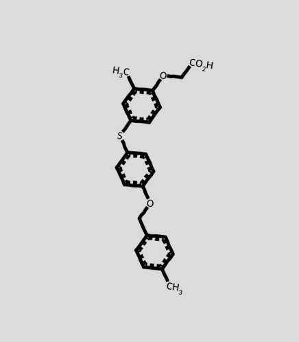 Cc1ccc(COc2ccc(Sc3ccc(OCC(=O)O)c(C)c3)cc2)cc1